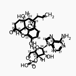 C=CCN1CC[C@]23c4c5ccc(O)c4O[C@H]2C(=O)CC[C@@]3(O)[C@H]1C5.Nc1ncnc2c1ncn2[C@@H]1O[C@@H]2COP(=O)(O)O[C@H]2[C@H]1O